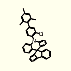 Cc1cc(C)c(-c2ccc(N3c4ccccc4C4(c5ccccc5-c5ccccc54)c4ccccc43)c(Cl)c2)c(C)c1